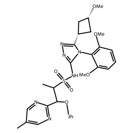 COc1cccc(OC)c1-n1c(NS(=O)(=O)C(C)C(OC(C)C)c2ncc(C)cn2)nnc1[C@H]1C[C@@H](OC)C1